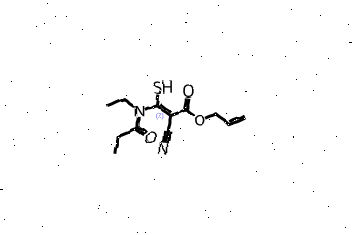 C=CCOC(=O)/C(C#N)=C(\S)N(CC)C(=O)CC